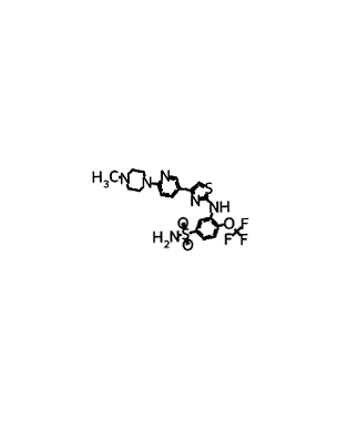 CN1CCN(c2ccc(-c3csc(Nc4cc(S(N)(=O)=O)ccc4OC(F)(F)F)n3)cn2)CC1